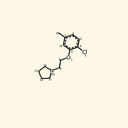 [CH2]c1ccc(Cl)c(OCCN2CCCC2)c1